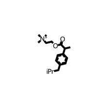 CC(C)Cc1ccc(C(C)C(=O)OCC[N+](C)(C)C)cc1